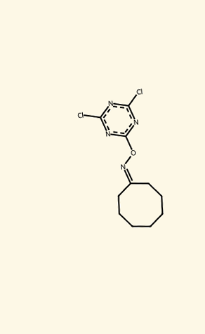 Clc1nc(Cl)nc(ON=C2CCCCCCC2)n1